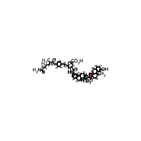 C[C@@H](CCCNC(N)=O)C(=O)Nc1ccc(COC(=O)N[C@@H](CCC(=O)O)C(=O)Nc2ccc3c(c2)[C@@]2(C)CCC[C@](C)(C(=O)NC(=O)[C@@]4(C)CCC[C@]5(C)c6cc(O)ccc6CC[C@@H]45)[C@@H]2CC3)cc1